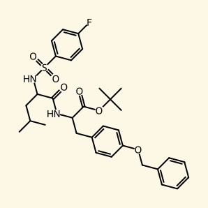 CC(C)CC(NS(=O)(=O)c1ccc(F)cc1)C(=O)NC(Cc1ccc(OCc2ccccc2)cc1)C(=O)OC(C)(C)C